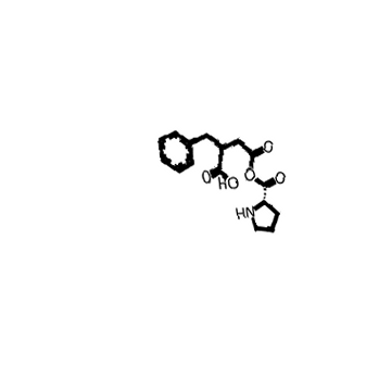 O=C(CC(Cc1ccccc1)C(=O)O)OC(=O)[C@@H]1CCCN1